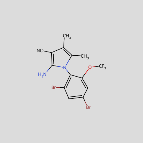 Cc1c(C#N)c(N)n(-c2c(Br)cc(Br)cc2OC(F)(F)F)c1C